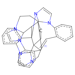 C1=CN2c3ccccc3/C3=C\c4ccccc4N4C=CN5C4C4C2N1CCC1CCN2C=CN6c7ccccc7C45C3(CC1)C26